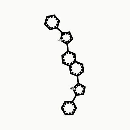 c1ccc(-c2ccc(-c3ccc4cc(-c5ccc(-c6ccccc6)[nH]5)ccc4c3)[nH]2)cc1